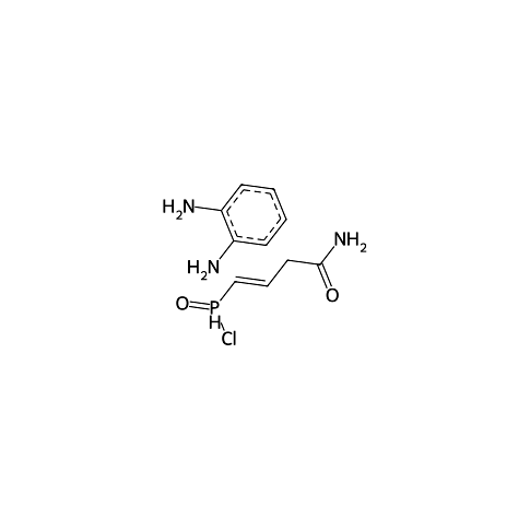 NC(=O)CC=C[PH](=O)Cl.Nc1ccccc1N